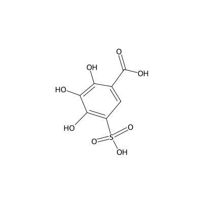 O=C(O)c1cc(S(=O)(=O)O)c(O)c(O)c1O